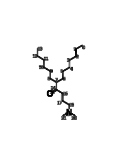 CCCCCCCC(CCCCCC)C(=O)/C=C/CN(C)C